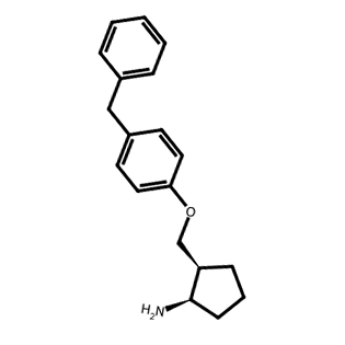 N[C@@H]1CCC[C@@H]1COc1ccc(Cc2ccccc2)cc1